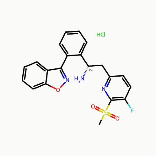 CS(=O)(=O)c1nc(C[C@H](N)c2ccccc2-c2noc3ccccc23)ccc1F.Cl